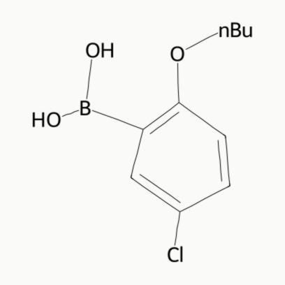 CCCCOc1ccc(Cl)cc1B(O)O